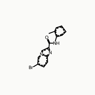 Cc1ccccc1NC(=O)c1cn2cc(Br)ccc2n1